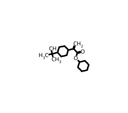 C=C(C(=O)OC1CCCCC1)C1CCC(C(C)(C)C)CC1